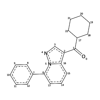 O=C(c1cnn2c(-c3ccccc3)cccc12)C1CCCCC1